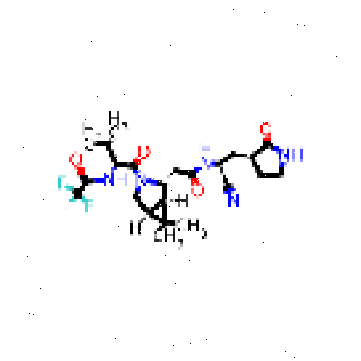 CC(C)[C@H](NC(=O)C(F)(F)F)C(=O)N1C[C@H]2[C@@H]([C@H]1CC(=O)N[C@H](C#N)C[C@@H]1CCNC1=O)C2(C)C